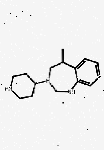 CC1CN(C2CCNCC2)CNc2ccccc21